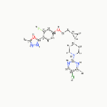 Cc1nnc(-c2ccc(OCCC3CC3C3CCN(c4ncc(Cl)c(C)n4)CC3)cc2F)o1